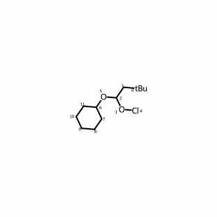 CC(C)(C)CC(OCl)OC1CCCCC1